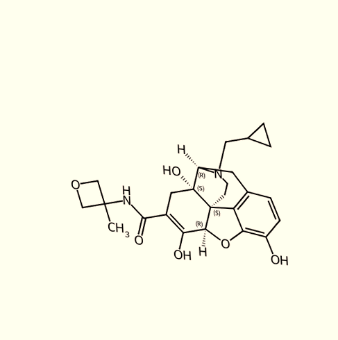 CC1(NC(=O)C2=C(O)[C@@H]3Oc4c(O)ccc5c4[C@@]34CCN(CC3CC3)[C@H](C5)[C@]4(O)C2)COC1